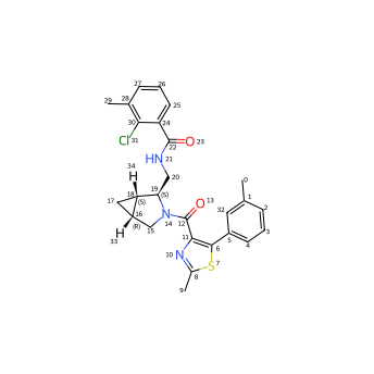 Cc1cccc(-c2sc(C)nc2C(=O)N2C[C@@H]3C[C@@H]3[C@H]2CNC(=O)c2cccc(C)c2Cl)c1